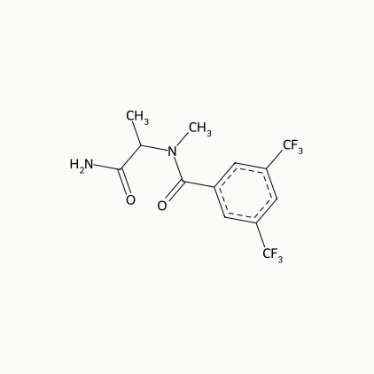 CC(C(N)=O)N(C)C(=O)c1cc(C(F)(F)F)cc(C(F)(F)F)c1